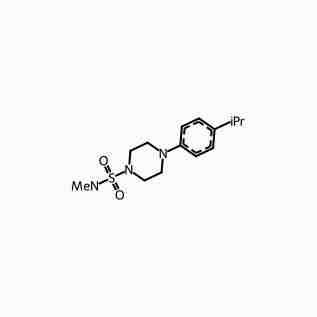 CNS(=O)(=O)N1CCN(c2ccc(C(C)C)cc2)CC1